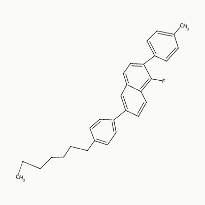 CCCCCCCc1ccc(-c2ccc3c(F)c(-c4ccc(C)cc4)ccc3c2)cc1